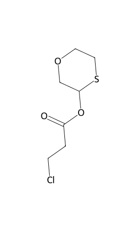 O=C(CCCl)OC1COCCS1